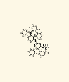 CC1(C)c2ccccc2-c2c(-c3ccccc3)nc(-n3c4ccccc4c4c3ccc3c5ccccc5n(-c5ccccc5)c34)nc21